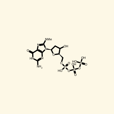 CNc1nc2c(=O)[nH]c(N)nc2n1[C@H]1CC(O)[C@@H](COP(=O)(O)OP(=O)(O)OP(=O)(O)O)O1